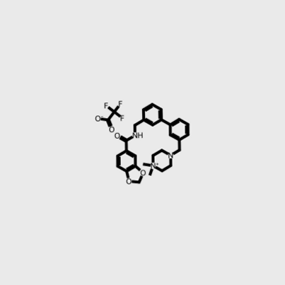 C[N+]1(C)CCN(Cc2cccc(-c3cccc(CNC(=O)c4ccc5c(c4)OCO5)c3)c2)CC1.O=C([O-])C(F)(F)F